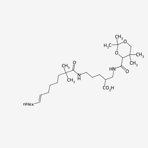 CCCCCCC=CCCCCC(C)(C)C(=O)NCCCC(CNC(=O)C1OC(C)(C)OCC1(C)C)C(=O)O